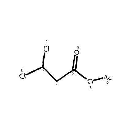 CC(=O)OC(=O)CC(Cl)Cl